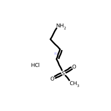 CS(=O)(=O)/C=C/CN.Cl